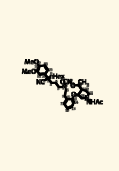 CCCCCCC(C#N)(CCCN(C)CCc1ccccc1OC1CN(NC(C)=O)CCC1C(C)O[N+](=O)[O-])c1ccc(OC)c(OC)c1